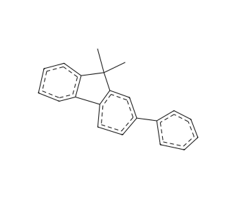 CC1(C)c2ccccc2-c2ccc(-c3ccccc3)cc21